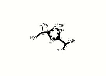 CCCC(CCC)c1noc([C@H](C)N)n1.Cl